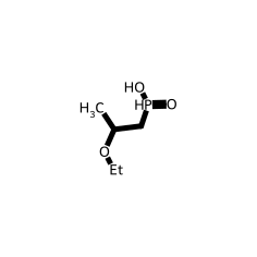 CCOC(C)C[PH](=O)O